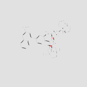 CC(C)(O)CNC(=O)N1[C@@H]2CC[C@H]1CN(c1nc(OCC34CCCN3CCC4)nc3cc(-c4cc(O)cc5ccccc45)ccc13)C2